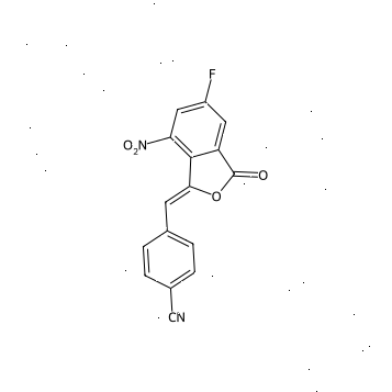 N#Cc1ccc(C=C2OC(=O)c3cc(F)cc([N+](=O)[O-])c32)cc1